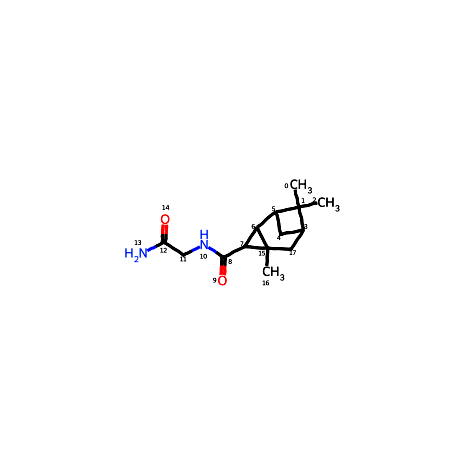 CC1(C)C2CC1C1C(C(=O)NCC(N)=O)C1(C)C2